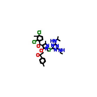 CCNc1nc(Cl)nc(NC(C)C)n1.Cc1ccc(C(=O)COc2c(C(=O)c3ccc(Cl)c(C)c3Cl)c(C)nn2C)cc1